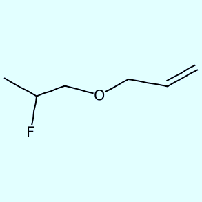 C=CCOCC(C)F